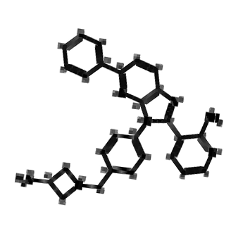 Nc1ncccc1-c1nc2ccc(-c3ccccc3)nc2n1-c1ccc(CN2CC(N)C2)cc1